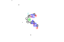 COc1cc(-c2cccc(-c3cccc(-c4ccn5c(=O)c(CNC[C@@H]6CCC(=O)N6)cnc5c4)c3Cl)c2Cl)cc(F)c1CNC[C@@H]1CCC(=O)N1